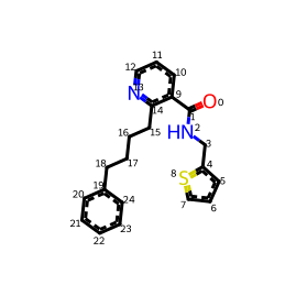 O=C(NCc1cccs1)c1cccnc1CCCCc1ccccc1